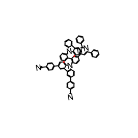 N#Cc1ccc(-c2ccc3c(c2)c2cc(-c4ccc(C#N)cc4)ccc2n3-c2ccc(-c3cc(-c4ccccc4)nc(-c4ccccc4)n3)cc2-c2ccccc2-n2c3ccccc3c3ccccc32)cc1